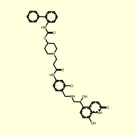 O=C(CCN1CCC(OC(=O)Nc2ccccc2-c2ccccc2)CC1)Nc1ccc(CNC[C@@H](O)c2ccc(O)c3[nH]c(=O)ccc23)c(Cl)c1